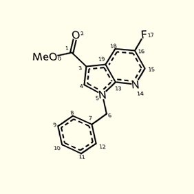 COC(=O)c1cn(Cc2ccccc2)c2ncc(F)cc12